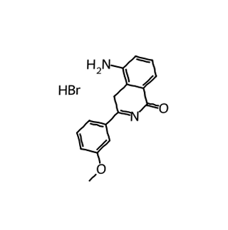 Br.COc1cccc(C2=NC(=O)c3cccc(N)c3C2)c1